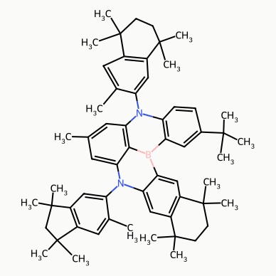 Cc1cc2c3c(c1)N(c1cc4c(cc1C)C(C)(C)CC4(C)C)c1cc4c(cc1B3c1cc(C(C)(C)C)ccc1N2c1cc2c(cc1C)C(C)(C)CCC2(C)C)C(C)(C)CCC4(C)C